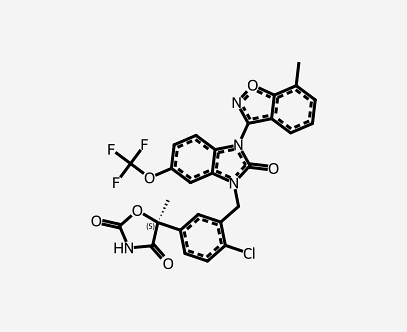 Cc1cccc2c(-n3c(=O)n(Cc4cc([C@]5(C)OC(=O)NC5=O)ccc4Cl)c4cc(OC(F)(F)F)ccc43)noc12